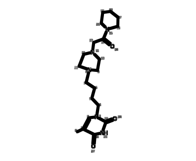 Cc1cn(CCCCN2CCN(CC(=O)N3CCCCC3)CC2)c(=O)[nH]c1=O